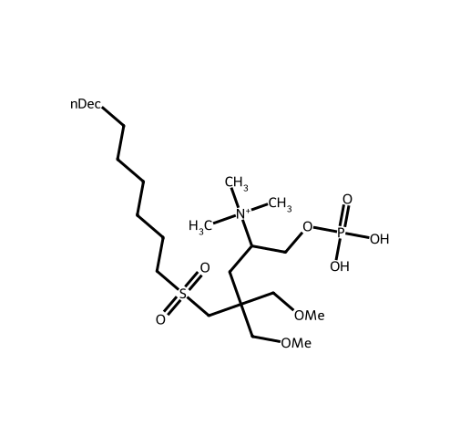 CCCCCCCCCCCCCCCCS(=O)(=O)CC(COC)(COC)CC(COP(=O)(O)O)[N+](C)(C)C